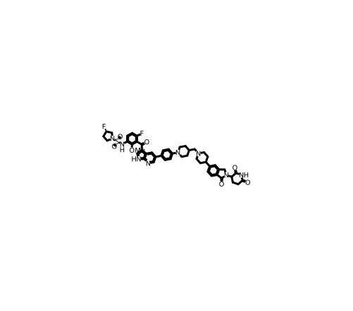 COc1c(NS(=O)(=O)N2CC[C@@H](F)C2)ccc(F)c1C(=O)c1c[nH]c2ncc(-c3ccc(N4CCC(CN5CCC(c6ccc7c(c6)CN(C6CCC(=O)NC6=O)C7=O)CC5)CC4)cc3)cc12